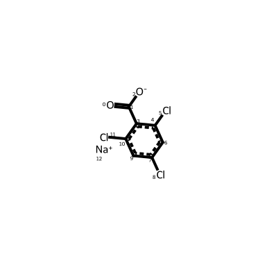 O=C([O-])c1c(Cl)cc(Cl)cc1Cl.[Na+]